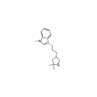 Cn1cc(CCCC2COC(C)(C)C2)c2ccccc21